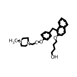 CN1CCN(CCOc2ccc(Cc3c(OCCCCO)ccc4ccccc34)cc2)CC1